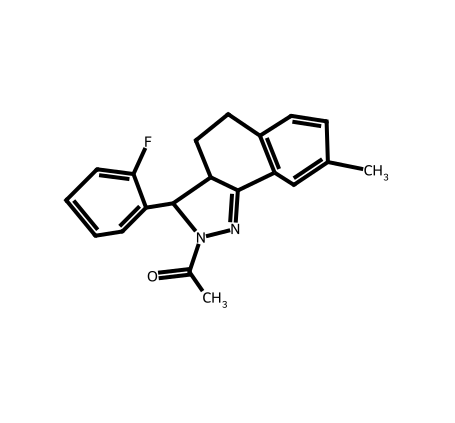 CC(=O)N1N=C2c3cc(C)ccc3CCC2C1c1ccccc1F